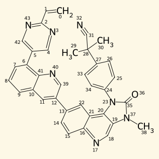 C=Cc1ncc(-c2cccc3cc(-c4ccc5ncc6c(c5c4)n(-c4ccc(C(C)(C)C#N)cc4)c(=O)n6C)cnc23)cn1